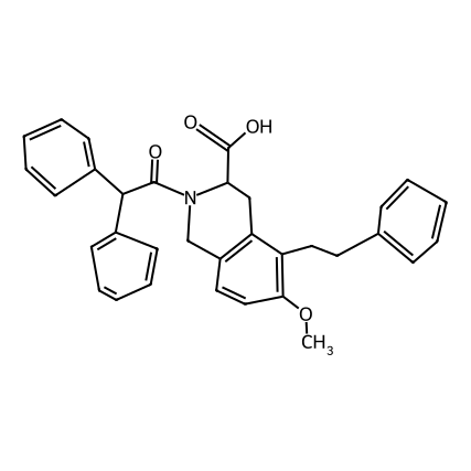 COc1ccc2c(c1CCc1ccccc1)CC(C(=O)O)N(C(=O)C(c1ccccc1)c1ccccc1)C2